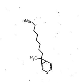 CCCCCCCCCCCCCCCCC1(C)C2=CSC=CC21